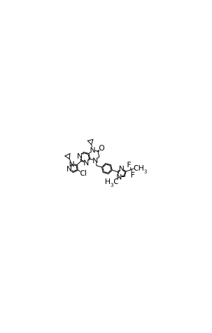 Cn1cc(C(C)(F)F)nc1-c1ccc(CN2CC(=O)N(C3CC3)c3cnc(-c4c(Cl)cnn4C4CC4)nc32)cc1